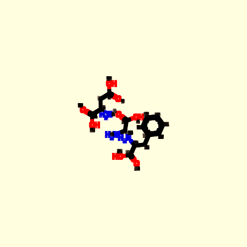 NCC(=O)O.N[C@@H](CC(=O)O)C(=O)O.N[C@@H](Cc1ccccc1)C(=O)O